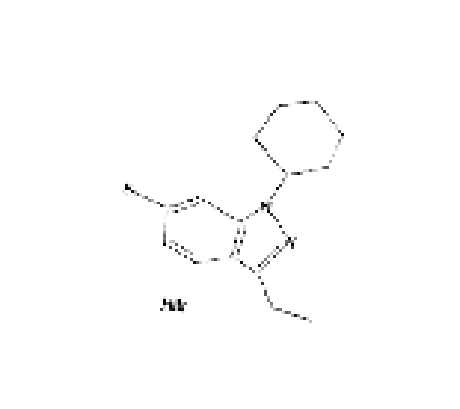 Br.CCc1nn(C2CCCCC2)c2cc(F)ccc12